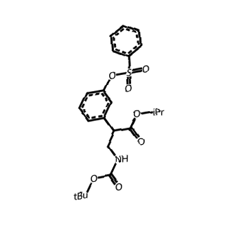 CC(C)OC(=O)C(CNC(=O)OC(C)(C)C)c1cccc(OS(=O)(=O)c2ccccc2)c1